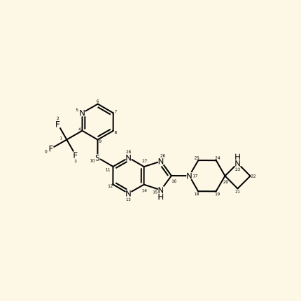 FC(F)(F)c1ncccc1Sc1cnc2[nH]c(N3CCC4(CCN4)CC3)nc2n1